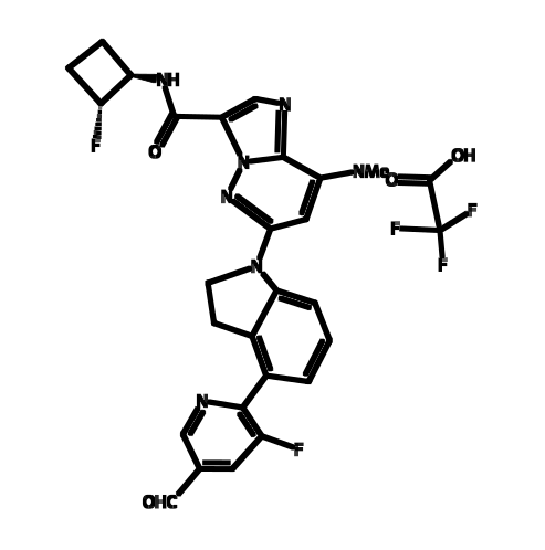 CNc1cc(N2CCc3c(-c4ncc(C=O)cc4F)cccc32)nn2c(C(=O)N[C@@H]3CC[C@H]3F)cnc12.O=C(O)C(F)(F)F